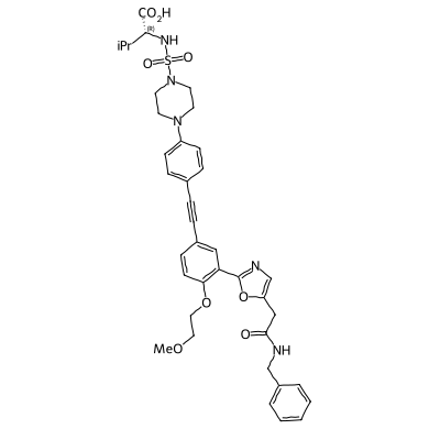 COCCOc1ccc(C#Cc2ccc(N3CCN(S(=O)(=O)N[C@@H](C(=O)O)C(C)C)CC3)cc2)cc1-c1ncc(CC(=O)NCc2ccccc2)o1